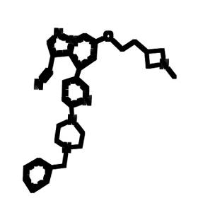 CN1CC(CCOc2cc(-c3ccc(N4CCN(Cc5ccccc5)CC4)nc3)c3c(C#N)cnn3c2)C1